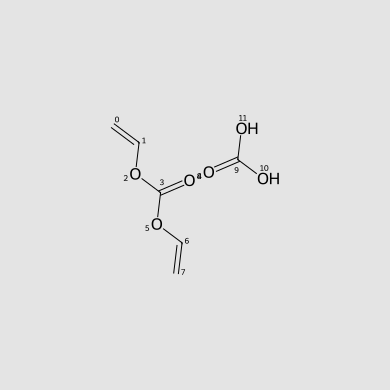 C=COC(=O)OC=C.O=C(O)O